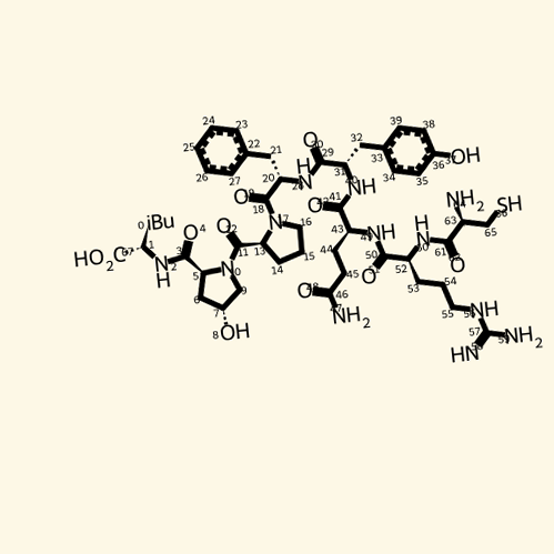 CC[C@H](C)[C@H](NC(=O)[C@@H]1C[C@@H](O)CN1C(=O)[C@@H]1CCCN1C(=O)[C@H](Cc1ccccc1)NC(=O)[C@H](Cc1ccc(O)cc1)NC(=O)[C@H](CCC(N)=O)NC(=O)[C@H](CCCNC(=N)N)NC(=O)[C@@H](N)CS)C(=O)O